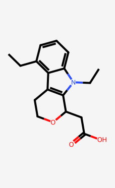 CCc1cccc2c1c1c(n2CC)C(CC(=O)O)OCC1